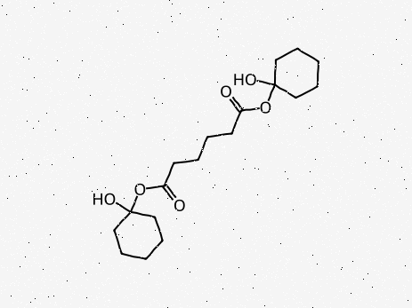 O=C(CCCCC(=O)OC1(O)CCCCC1)OC1(O)CCCCC1